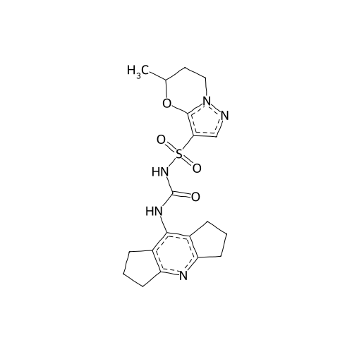 CC1CCn2ncc(S(=O)(=O)NC(=O)Nc3c4c(nc5c3CCC5)CCC4)c2O1